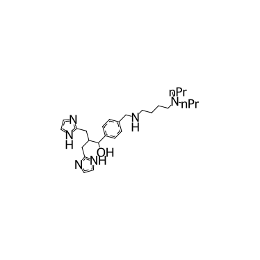 CCCN(CCC)CCCCNCc1ccc(C(O)C(Cc2ncc[nH]2)Cc2ncc[nH]2)cc1